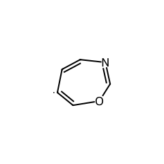 [C]1=COC=NC=C1